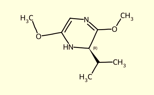 COC1=CN=C(OC)[C@@H](C(C)C)N1